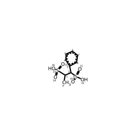 CC(C(c1ccccc1)S(=O)(=O)O)S(=O)(=O)O